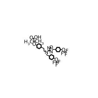 CC(C)(Oc1ccc(CCN(Cc2ccc(OC(F)(F)F)cc2)c2noc(-c3ccc(OC(F)(F)F)cc3)n2)cc1)C(=O)O